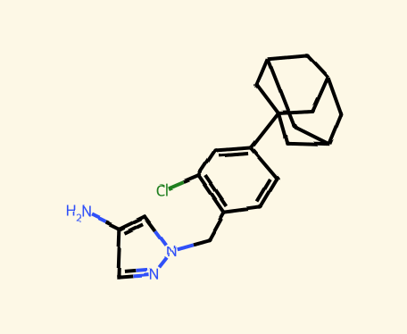 Nc1cnn(Cc2ccc(C34CC5CC(CC(C5)C3)C4)cc2Cl)c1